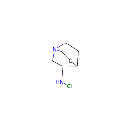 ClNC1CN2CCC1CC2